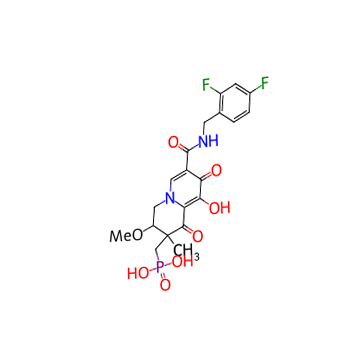 COC1Cn2cc(C(=O)NCc3ccc(F)cc3F)c(=O)c(O)c2C(=O)C1(C)CP(=O)(O)O